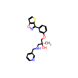 C[C@](O)(CNCc1cccnc1)COc1cccc(-c2noc3ccsc23)c1